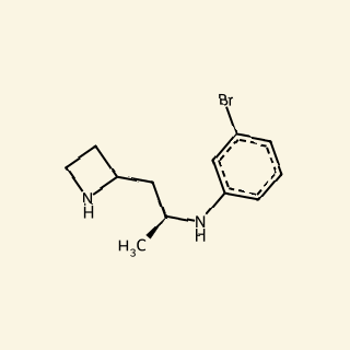 C[C@@H](CC1CCN1)Nc1cccc(Br)c1